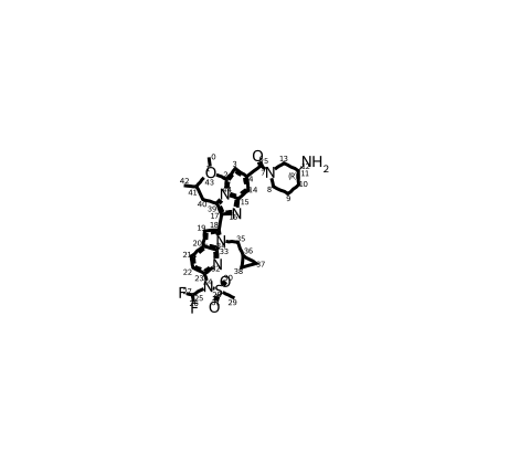 COc1cc(C(=O)N2CCC[C@@H](N)C2)cc2nc(-c3cc4ccc(N(C(F)F)S(C)(=O)=O)nc4n3CC3CC3)c(CC(C)C)n12